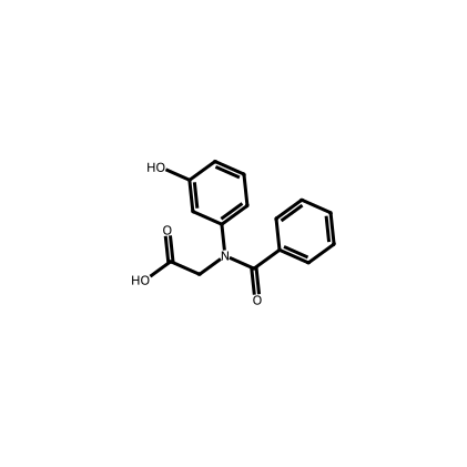 O=C(O)CN(C(=O)c1ccccc1)c1cccc(O)c1